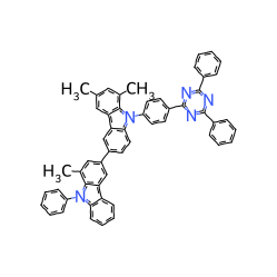 Cc1cc(C)c2c(c1)c1cc(-c3cc(C)c4c(c3)c3ccccc3n4-c3ccccc3)ccc1n2-c1ccc(-c2nc(-c3ccccc3)nc(-c3ccccc3)n2)cc1